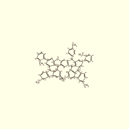 Cc1ccc(N2c3cc4c(cc3B3c5c2cc(-c2ccccc2C)cc5-n2c5ccc(C)cc5c5cc(C)cc3c52)B2c3c(cc(-c5ccccc5C)cc3-n3c5ccc(C)cc5c5cc(C)cc2c53)O4)cc1